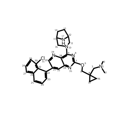 CN(C)CC1(COc2nc(N3CC4CCC(C3)N4)c3ncc(-c4cccc5cccc(Cl)c45)cc3n2)CC1